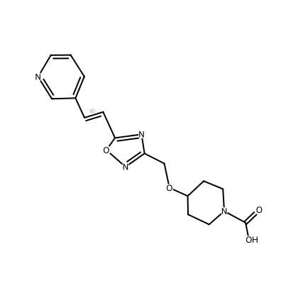 O=C(O)N1CCC(OCc2noc(/C=C/c3cccnc3)n2)CC1